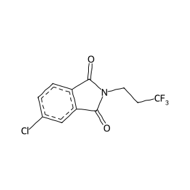 O=C1c2ccc(Cl)cc2C(=O)N1CCC(F)(F)F